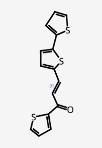 O=C(/C=C/c1ccc(-c2cccs2)s1)c1cccs1